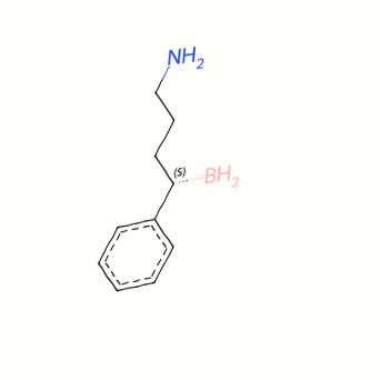 B[C@@H](CCCN)c1ccccc1